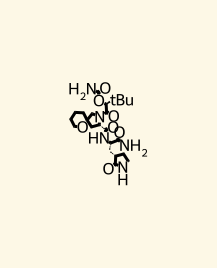 CC(C)(C)[C@H](OC(N)=O)C(=O)N1CC2(CCCCO2)C[C@H]1C(=O)N[C@@H](C[C@@H]1CCNC1=O)C(N)=O